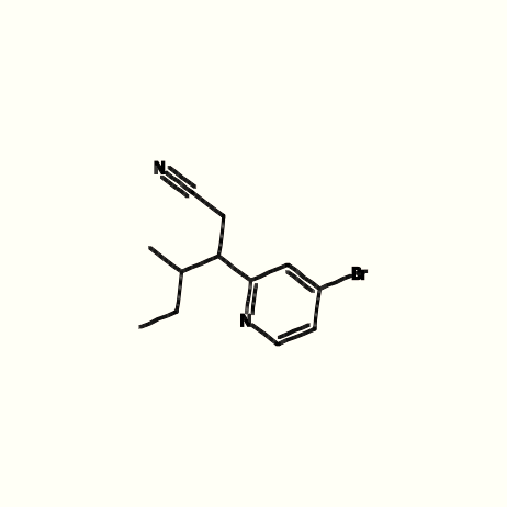 CCC(C)C(CC#N)c1cc(Br)ccn1